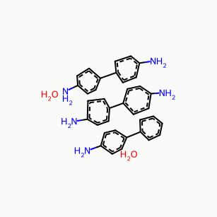 Nc1ccc(-c2ccc(N)cc2)cc1.Nc1ccc(-c2ccc(N)cc2)cc1.Nc1ccc(-c2ccccc2)cc1.O.O